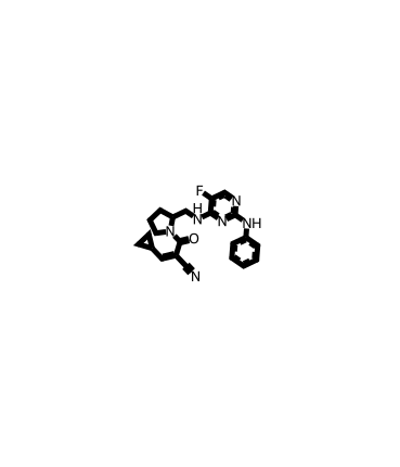 N#C/C(=C/C1CC1)C(=O)N1CCCC1CNc1nc(Nc2ccccc2)ncc1F